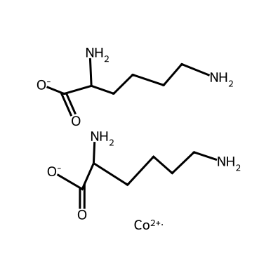 NCCCCC(N)C(=O)[O-].NCCCCC(N)C(=O)[O-].[Co+2]